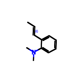 C/C=C/c1ccccc1N(C)C